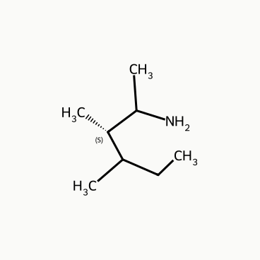 CCC(C)[C@H](C)C(C)N